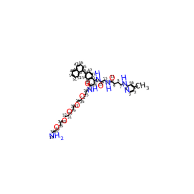 Cc1ccnc(NCCCC(=O)NCC(=O)N[C@@H](CC(=O)NCCOCCOCCOCCOCCOCCN)c2ccc(-c3cccc4ccccc34)cc2)c1